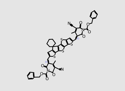 CC1=C(C#N)C(=O)N(C(=O)OCc2ccccc2)C(=O)/C1=C/c1cc2c(s1)-c1sc3c(sc4cc(/C=C5/C(=O)N(C(=O)OCc6ccccc6)C(=O)C(C#N)=C5C)sc43)c1C21CCCCC1